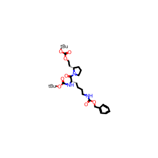 CC(C)(C)OC(=O)N[C@@H](CCCCNC(=O)OCc1ccccc1)C(=O)N1CCC[C@H]1CCOC(=O)OC(C)(C)C